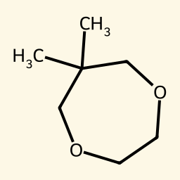 CC1(C)COCCOC1